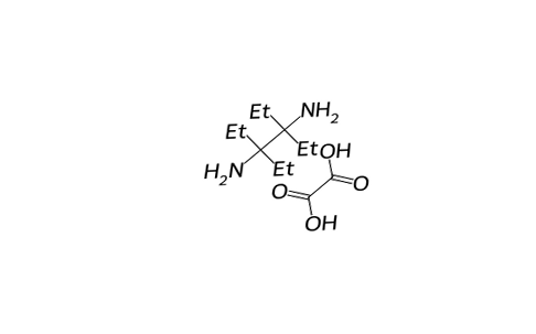 CCC(N)(CC)C(N)(CC)CC.O=C(O)C(=O)O